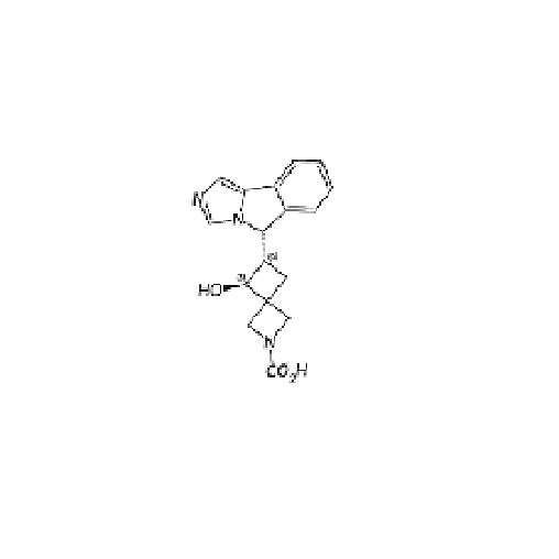 O=C(O)N1CC2(C[C@@H](C3c4ccccc4-c4cncn43)[C@@H]2O)C1